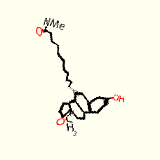 CNC(=O)CCCCCCCCCC[C@@H]1CC2=C(C=C=C(O)C2)C2CC[C@]3(C)C(=O)C=CC3C21